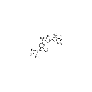 C=C/C=C(\C=C(\F)CCl)N1CC2(CCCC2)c2nc(C(=O)N3CCN(c4cc(C)c(C(=O)O)c(C)n4)CC3(C)C)ccc21